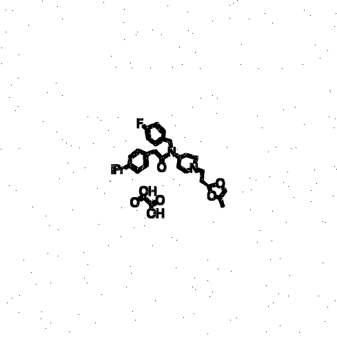 CC1CO[C@H](CCN2CCC(N(Cc3ccc(F)cc3)C(=O)Cc3ccc(C(C)C)cc3)CC2)O1.O=C(O)C(=O)O